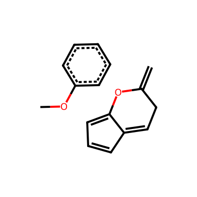 C=C1CC=C2C=CC=C2O1.COc1ccccc1